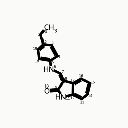 CCc1ccc(N/C=C2\C(=O)Nc3ccccc32)cc1